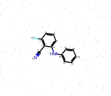 N#Cc1c(F)cccc1Nc1ccccc1